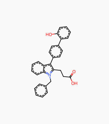 O=C(O)CCc1c(-c2ccc(-c3ccccc3O)cc2)c2ccccc2n1Cc1ccccc1